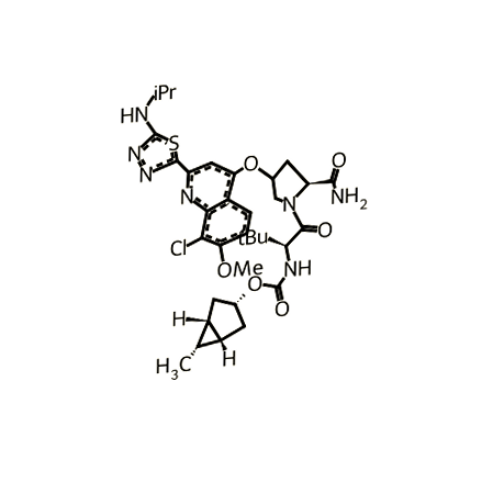 COc1ccc2c(OC3C[C@@H](C(N)=O)N(C(=O)[C@@H](NC(=O)O[C@@H]4C[C@@H]5[C@H](C)[C@@H]5C4)C(C)(C)C)C3)cc(-c3nnc(NC(C)C)s3)nc2c1Cl